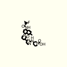 Cc1ccc2c(NC(=O)[C@@H]3C[C@@H]3F)cccc2c1Oc1ncccc1-c1ccnc(NC2CCCN(C(=O)O)C2)n1